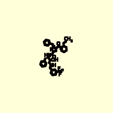 CCCC1CCCCN1C(=O)c1cc(C(=O)N[C@@H](Cc2ccccc2)[C@H](O)CNCc2cccc(C(F)(F)F)c2)nn1Cc1ccccc1